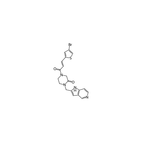 O=C(C=Cc1cc(Br)cs1)N1CCN(Cc2cc3cnccc3[nH]2)C(=O)C1